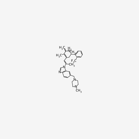 C=C(N)/C(C)=C(/C=C(\C)n1cnc2ccc(CN3CCN(C)CC3)cc21)CC(C)c1ccccc1C(F)(F)F